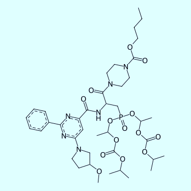 CCCCOC(=O)N1CCN(C(=O)C(CP(=O)(OC(C)OC(=O)OC(C)C)OC(C)OC(=O)OC(C)C)NC(=O)c2cc(N3CCC(OC)C3)nc(-c3ccccc3)n2)CC1